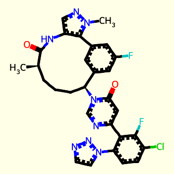 C[C@@H]1CCC[C@H](n2cnc(-c3c(-n4ccnn4)ccc(Cl)c3F)cc2=O)c2cc(F)cc(c2)-c2c(cnn2C)NC1=O